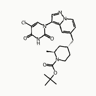 C[C@H]1C[C@H](Cc2ccn3ncc(-n4cc(Cl)c(=O)[nH]c4=O)c3c2)CCN1C(=O)OC(C)(C)C